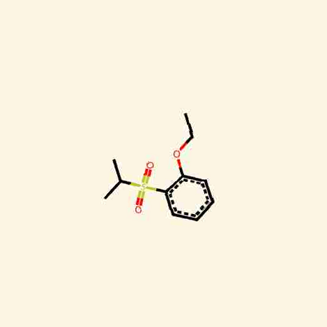 CCOc1ccccc1S(=O)(=O)C(C)C